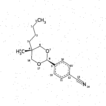 CCCC[C@]1(C)CO[C@@H](c2ccc(C#N)cc2)OC1